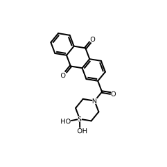 O=C1c2ccccc2C(=O)c2cc(C(=O)N3CCS(O)(O)CC3)ccc21